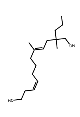 CCCC(C)(CO)CC=C(C)CCC/C=C\CCO